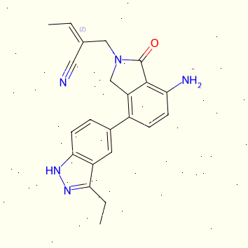 C/C=C(\C#N)CN1Cc2c(-c3ccc4[nH]nc(CC)c4c3)ccc(N)c2C1=O